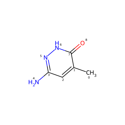 Cc1cc(N)n[nH]c1=O